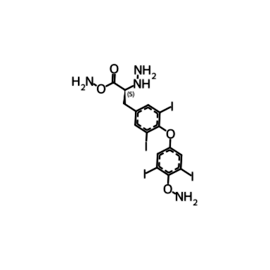 NN[C@@H](Cc1cc(I)c(Oc2cc(I)c(ON)c(I)c2)c(I)c1)C(=O)ON